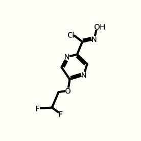 ON=C(Cl)c1cnc(OCC(F)F)cn1